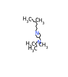 CCCC(C)CCCCN1CCC(CN(C)CC(C)CC)CC1